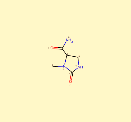 CN1C(=O)NCC1C(N)=O